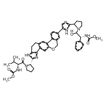 COC(=O)N[C@H](C(=O)N1CCC[C@H]1c1nc2c([nH]1)CCc1cc3c(cc1-2)OCc1cc(-c2cnc(C4CCCN4C(O)[C@H](NC(=O)OC)c4ccccc4)[nH]2)ccc1-3)C(C)C